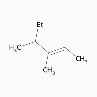 [CH2]CC(C)C(C)=CC